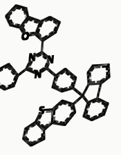 c1ccc(-c2nc(-c3ccc(C4(c5ccc6c(c5)sc5ccccc56)c5ccccc5-c5ccccc54)cc3)nc(-c3cccc4c3oc3ccccc34)n2)cc1